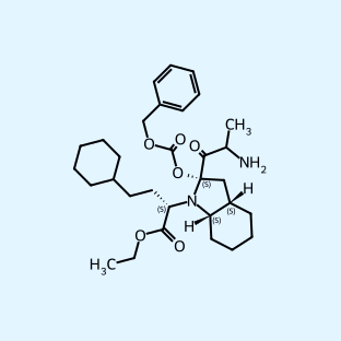 CCOC(=O)[C@H](CCC1CCCCC1)N1[C@H]2CCCC[C@H]2C[C@]1(OC(=O)OCc1ccccc1)C(=O)C(C)N